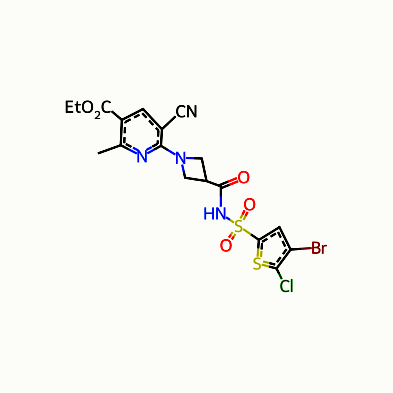 CCOC(=O)c1cc(C#N)c(N2CC(C(=O)NS(=O)(=O)c3cc(Br)c(Cl)s3)C2)nc1C